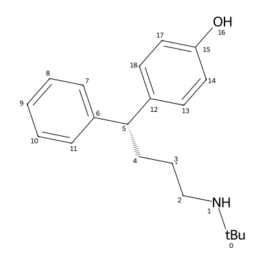 CC(C)(C)NC[CH]C[C@H](c1ccccc1)c1ccc(O)cc1